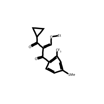 CCOC=C(C(=O)c1ccc(SC)cc1C(F)(F)F)C(=O)C1CC1